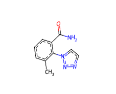 Cc1cccc(C(N)=O)c1-n1ccnn1